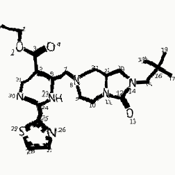 CCOC(=O)C1=C(CN2CCN3C(=O)N(CC(C)(C)C)CC3C2)NC(c2nccs2)=NC1